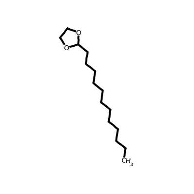 CCCCCCCCCCCCC1OCCO1